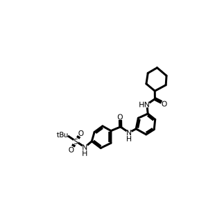 CC(C)(C)S(=O)(=O)Nc1ccc(C(=O)Nc2cccc(NC(=O)C3CCCCC3)c2)cc1